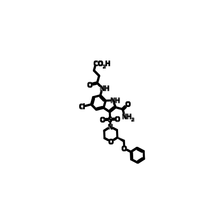 NC(=O)c1[nH]c2c(NC(=O)CCC(=O)O)cc(Cl)cc2c1S(=O)(=O)N1CCO[C@H](COc2ccccc2)C1